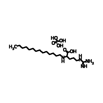 CCCCCCCCCCCCCCNC(CCCNC(=N)N)C(=O)O.O=P(O)(O)O